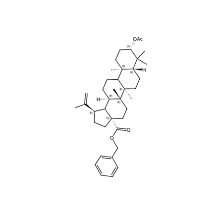 C=C(C)[C@@H]1CC[C@]2(C(=O)OCc3ccccc3)CC[C@]3(C)[C@H](CCC4[C@@]5(C)CC[C@H](OC(C)=O)C(C)(C)[C@@H]5CC[C@]43C)C12